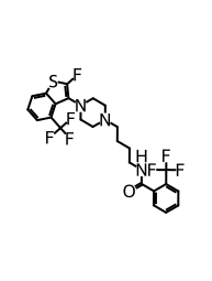 O=C(NCCCCN1CCN(c2c(F)sc3cccc(C(F)(F)F)c23)CC1)c1ccccc1C(F)(F)F